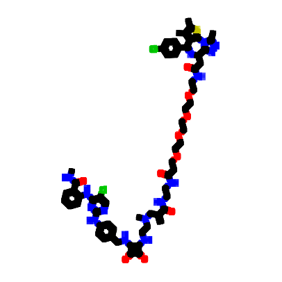 C=C(CN(C)CCNc1c(NCc2ccc(Nc3ncc(Cl)c(Nc4ccccc4C(=O)NC)n3)cc2)c(=O)c1=O)C(=O)NCCNC(=O)CCOCCOCCOCCOCCNC(=O)CC1N=C(c2ccc(Cl)cc2)c2c(sc(C)c2C)-n2c(C)nnc21